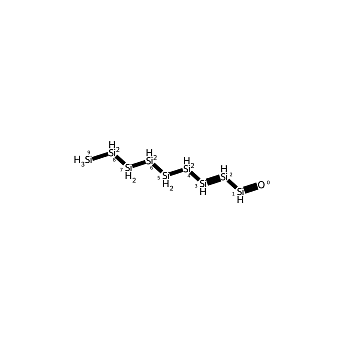 O=[SiH][SiH]=[SiH][SiH2][SiH2][SiH2][SiH2][SiH2][SiH3]